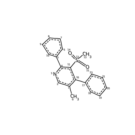 Cc1cnc(-c2ccccc2)c(S(C)(=O)=O)c1-c1ccccc1